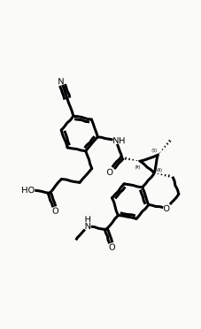 CNC(=O)c1ccc2c(c1)OCC[C@@]21[C@H](C(=O)Nc2cc(C#N)ccc2CCCC(=O)O)[C@@H]1C